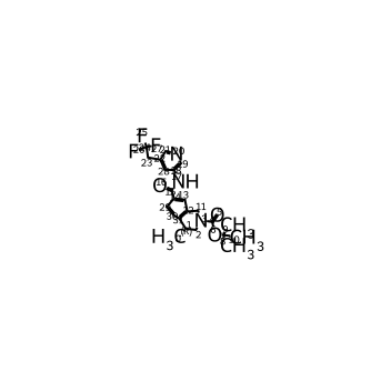 C[C@H]1CN(C(=O)OC(C)(C)C)Cc2cc(C(=O)Nc3cncc(CC(F)(F)F)c3)ccc21